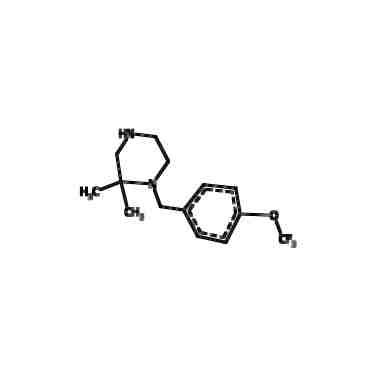 CC1(C)CNCCN1Cc1ccc(OC(F)(F)F)cc1